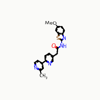 COc1ccc2nc(NC(=O)Cc3ccc(-c4ccnc(C)c4)nc3)sc2c1